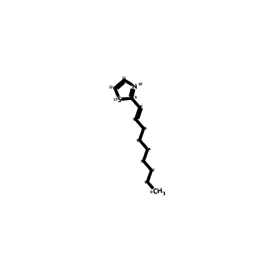 CCCCCCCC=Cc1nccs1